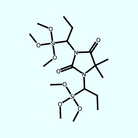 CCC(N1C(=O)N(C(CC)[Si](OC)(OC)OC)C(C)(C)C1=O)[Si](OC)(OC)OC